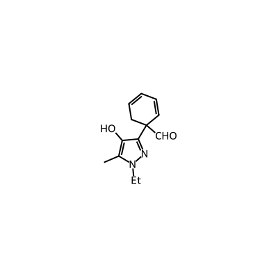 CCn1nc(C2(C=O)C=CC=CC2)c(O)c1C